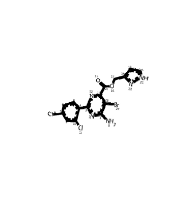 Nc1nc(-c2ccc(Cl)cc2Cl)nc(C(=O)OCc2cc[nH]n2)c1Br